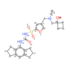 CN(Cc1coc(S(=O)(=O)NC(=O)Nc2c3c(cc4c2CCC4)CCC3)c1)CC1(O)CCC1